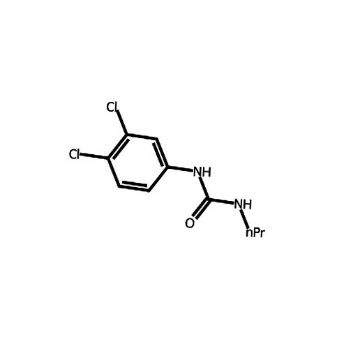 CCCNC(=O)Nc1ccc(Cl)c(Cl)c1